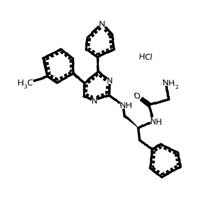 Cc1cccc(-c2cnc(NC[C@H](Cc3ccccc3)NC(=O)CN)nc2-c2ccncc2)c1.Cl